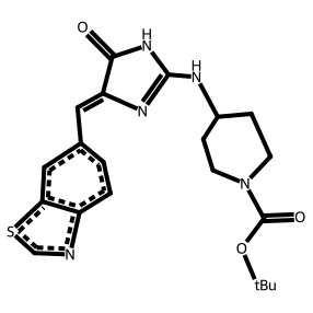 CC(C)(C)OC(=O)N1CCC(NC2=N/C(=C\c3ccc4ncsc4c3)C(=O)N2)CC1